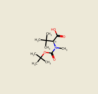 CN(C(=O)OC(C)(C)C)[C@H](C(=O)O)C(C)(C)C